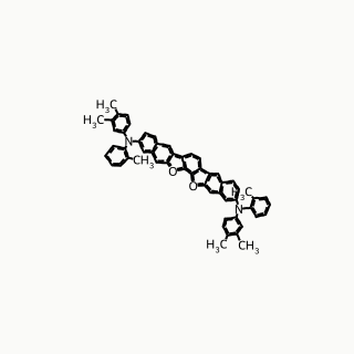 Cc1ccc(N(c2ccc3cc4c(cc3c2)oc2c4ccc3c4cc5ccc(N(c6ccc(C)c(C)c6)c6ccccc6C)cc5cc4oc32)c2ccccc2C)cc1C